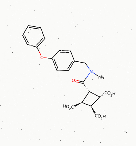 CCCN(Cc1ccc(Oc2ccccc2)cc1)C(=O)[C@H]1[C@H](C(=O)O)[C@H](C(=O)O)[C@H]1C(=O)O